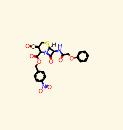 O=C=C1CS[C@H]2C(NC(=O)COc3ccccc3)C(=O)N2C1C(=O)OCc1ccc([N+](=O)[O-])cc1